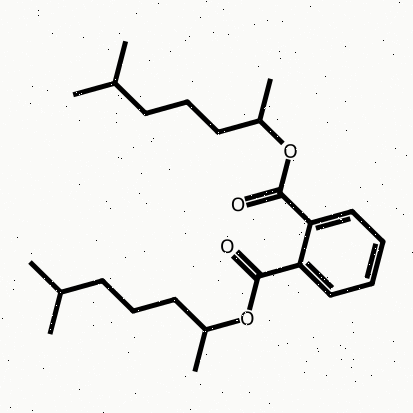 CC(C)CCCC(C)OC(=O)c1ccccc1C(=O)OC(C)CCCC(C)C